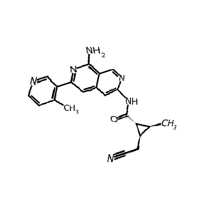 Cc1ccncc1-c1cc2cc(NC(=O)[C@@H]3[C@@H](C)[C@H]3CC#N)ncc2c(N)n1